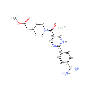 COC(=O)CC1CCN(C(=O)c2cnc(-c3ccc(C(=N)N)cc3)nc2)CC1.Cl